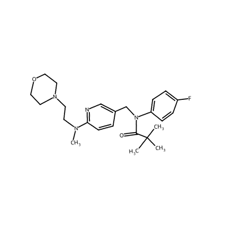 CN(CCN1CCOCC1)c1ccc(CN(C(=O)C(C)(C)C)c2ccc(F)cc2)cn1